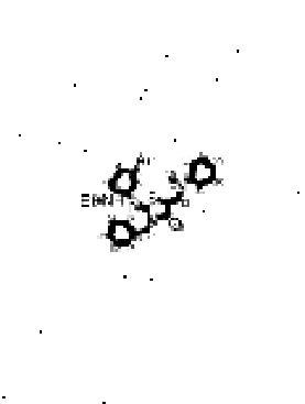 CCNc1ccc(C(C)=O)cc1N=C1SC(=CN(C)c2ccccc2)C(=O)N1Cc1ccccc1